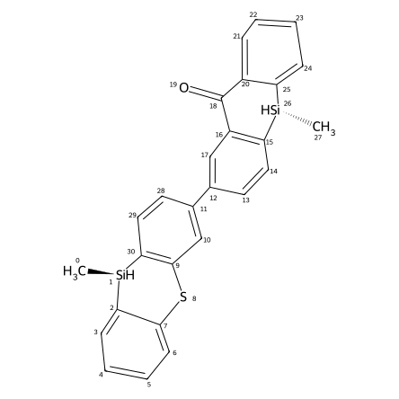 C[Si@@H]1c2ccccc2Sc2cc(-c3ccc4c(c3)C(=O)c3ccccc3[Si@@H]4C)ccc21